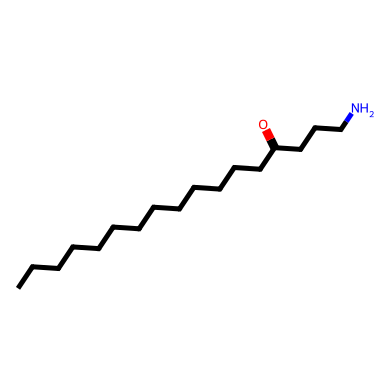 CCCCCCCCCCCCCC(=O)CCCN